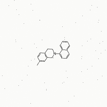 Cc1ccc2c(c1)[C]N(c1cccc3ccccc13)CC2